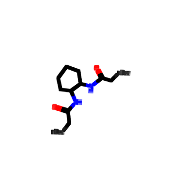 CCCCCCCCCCCC(=O)NC1CCCCC1NC(=O)CCCCCCCCCCC